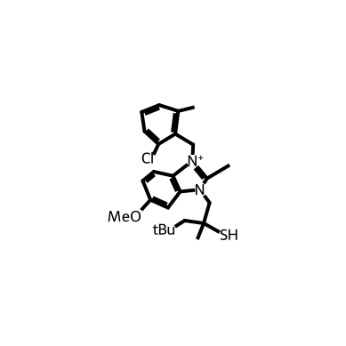 COc1ccc2c(c1)n(CC(C)(S)CC(C)(C)C)c(C)[n+]2Cc1c(C)cccc1Cl